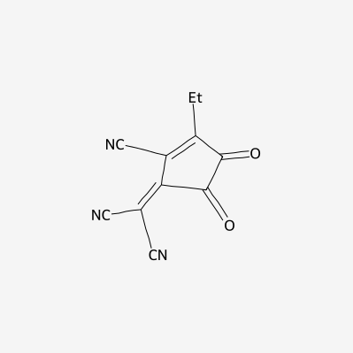 CCC1=C(C#N)C(=C(C#N)C#N)C(=O)C1=O